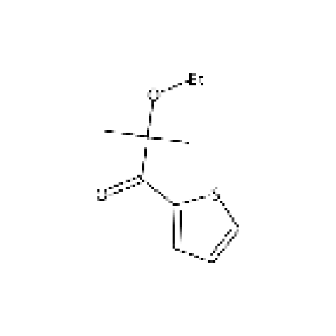 CCOC(C)(C)C(=O)c1cccs1